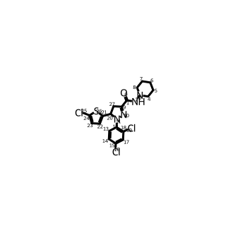 O=C(NN1CCCCC1)C1=NN(c2ccc(Cl)cc2Cl)C(c2ccc(Cl)s2)C1